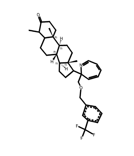 CC1C(=O)CC[C@@]2(C)C1CC[C@@H]1[C@@H]2CC[C@]2(C)C(C3(COCc4cccc(C(F)(F)F)c4)C=CC=CC=N3)CC[C@@H]12